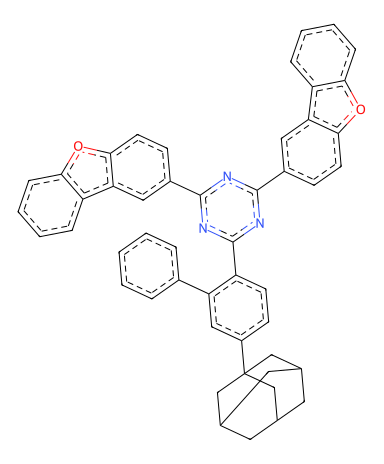 c1ccc(-c2cc(C34CC5CC(CC(C5)C3)C4)ccc2-c2nc(-c3ccc4oc5ccccc5c4c3)nc(-c3ccc4oc5ccccc5c4c3)n2)cc1